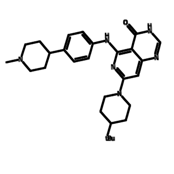 CN1CCC(c2ccc(Nc3nc(N4CCC(C(C)(C)C)CC4)cc4nc[nH]c(=O)c34)cc2)CC1